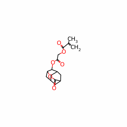 C=C(C)C(=O)OCC(=O)OC1C2CC3CC(C2)C(=O)OC1C3